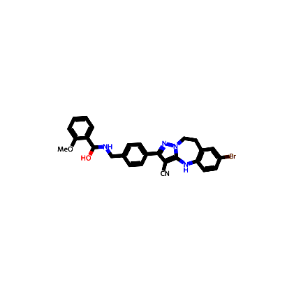 COc1ccccc1C(O)NCc1ccc(-c2nn3c(c2C#N)Nc2ccc(Br)cc2CC3)cc1